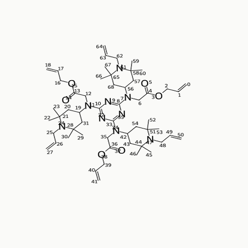 C=CCOC(=O)CN(c1nc(N(CC(=O)OCC=C)C2CC(C)(C)N(CC=C)C(C)(C)C2)nc(N(CC(=O)OCC=C)C2CC(C)(C)N(CC=C)C(C)(C)C2)n1)C1CC(C)(C)N(CC=C)C(C)(C)C1